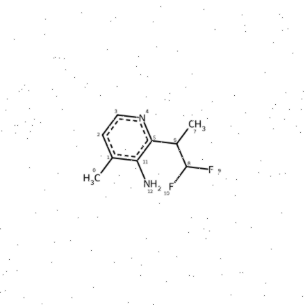 Cc1ccnc(C(C)C(F)F)c1N